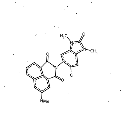 CNc1cc2c3c(cccc3c1)C(=O)N(c1cc3c(cc1Cl)n(C)c(=O)n3C)C2=O